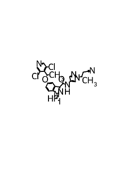 CC(Oc1ccc2c(c1)c(C(=O)Nc1cnn(C(C)CC#N)c1)nn2PI)c1c(Cl)cncc1Cl